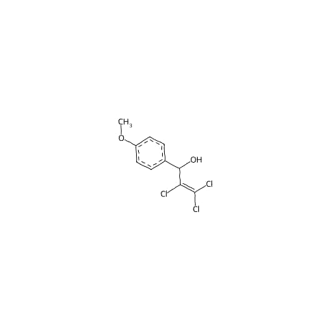 COc1ccc(C(O)C(Cl)=C(Cl)Cl)cc1